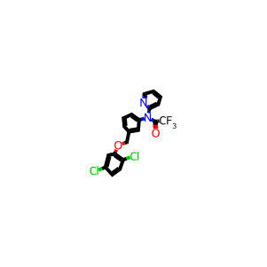 O=C(N(c1cccc(COc2cc(Cl)ccc2Cl)c1)c1ccccn1)C(F)(F)F